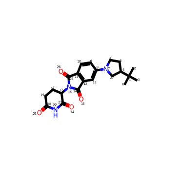 CC(C)(C)C1CCN(c2ccc3c(c2)C(=O)N(C2CCC(=O)NC2=O)C3=O)C1